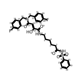 O=C(CCCCCNC(=O)/C(O)=C/C(=O)N(Cc1ccc(F)cc1)Cc1ccc(F)cc1)NS(=O)(=O)c1ccccc1